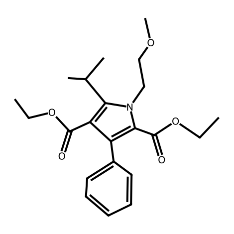 CCOC(=O)c1c(-c2ccccc2)c(C(=O)OCC)n(CCOC)c1C(C)C